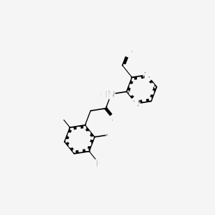 O=Cc1nccnc1NC(=O)Cc1c(F)ccc(F)c1Cl